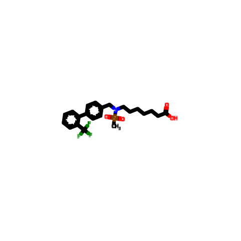 CS(=O)(=O)N(CCCCCCC(=O)O)Cc1ccc(-c2ccccc2C(F)(F)F)cc1